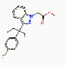 CCC(CC)(c1ccc(Cl)cc1)c1nn(CC(=O)OC)c2ccccc12